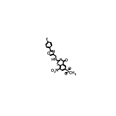 CS(=O)(=O)c1cc([N+](=O)[O-])c2sc(NCc3coc(-c4ccc(F)cc4)n3)nc(=O)c2c1